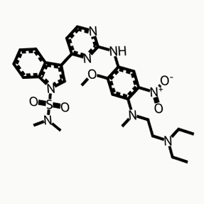 CCN(CC)CCN(C)c1cc(OC)c(Nc2nccc(-c3cn(S(=O)(=O)N(C)C)c4ccccc34)n2)cc1[N+](=O)[O-]